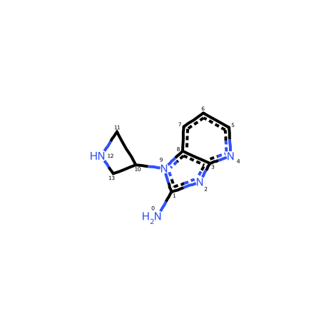 Nc1nc2ncccc2n1C1CNC1